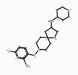 Cc1nc(C(F)(F)F)ccc1SN1CCC2(CC1)CC(NC1CCOCC1)CO2